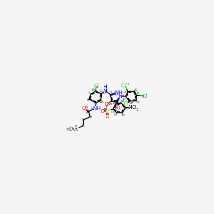 CCCCCCCCCCCCCC(=O)Nc1ccc(Cl)c(Nc2[nH]n(-c3c(Cl)cc(Cl)cc3Cl)c(=O)c2OS(=O)(=O)c2ccc([N+](=O)[O-])cc2)c1